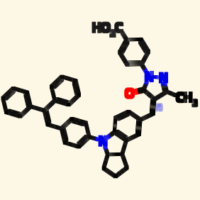 CC1=NN(c2ccc(C(=O)O)cc2)C(=O)/C1=C\c1ccc2c(c1)C1CCCC1N2c1ccc(C=C(c2ccccc2)c2ccccc2)cc1